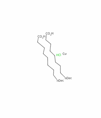 CCCCCCCCCCCCCCCCCC(=O)O.CCCCCCCCCCCCCCCCCC(=O)O.Cl.[Cu]